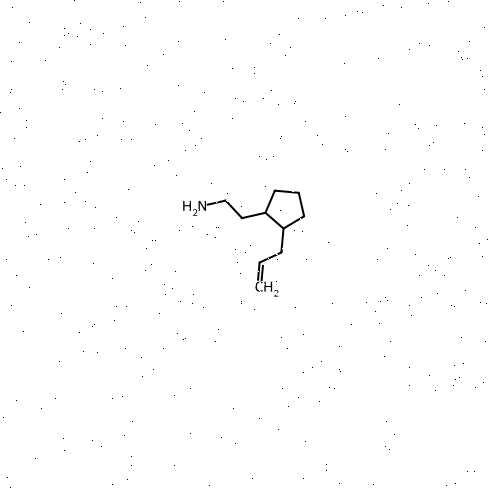 C=CCC1CCCC1CCN